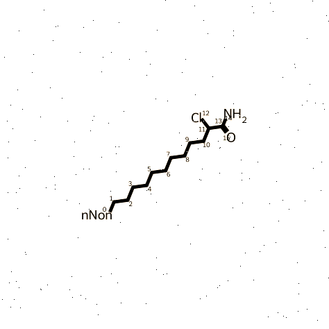 CCCCCCCCCCCCCCCCCCCC(Cl)C(N)=O